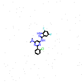 CN(C)c1cc(Nc2n[nH]c3c(F)cc(F)cc23)nc(-c2ccccc2Cl)n1